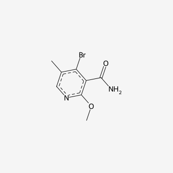 COc1ncc(C)c(Br)c1C(N)=O